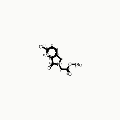 CC(C)(C)OC(=O)CN1Cc2ccc(Cl)nc2C1=O